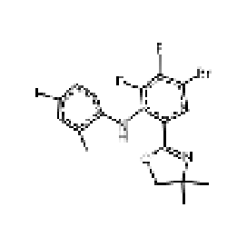 Cc1cc(I)ccc1Nc1c(C2=NC(C)(C)CO2)cc(Br)c(F)c1F